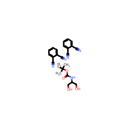 CC(C)(C)OC(=O)NC(CO)CO.N#Cc1ccccc1C#N.N#Cc1ccccc1C#N